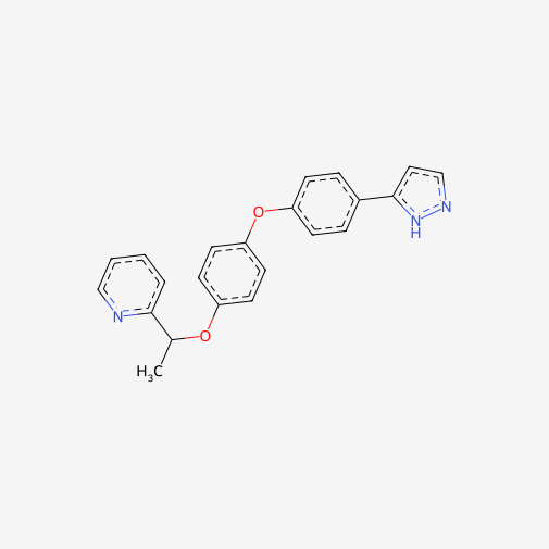 CC(Oc1ccc(Oc2ccc(-c3ccn[nH]3)cc2)cc1)c1ccccn1